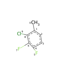 Cc1ccc(F)c(F)c1Cl